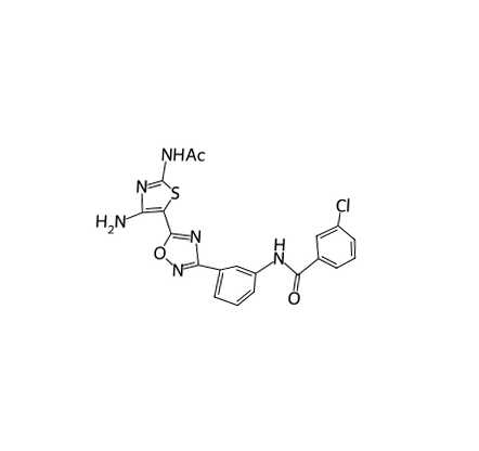 CC(=O)Nc1nc(N)c(-c2nc(-c3cccc(NC(=O)c4cccc(Cl)c4)c3)no2)s1